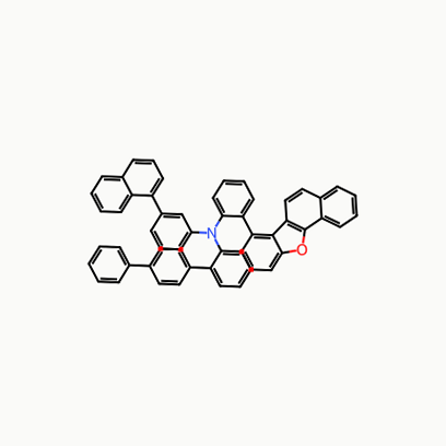 c1ccc(-c2ccc(-c3ccccc3N(c3cccc(-c4cccc5ccccc45)c3)c3ccccc3-c3cccc4oc5c6ccccc6ccc5c34)cc2)cc1